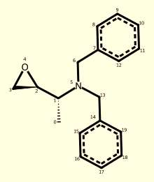 C[C@H]([C@H]1CO1)N(Cc1ccccc1)Cc1ccccc1